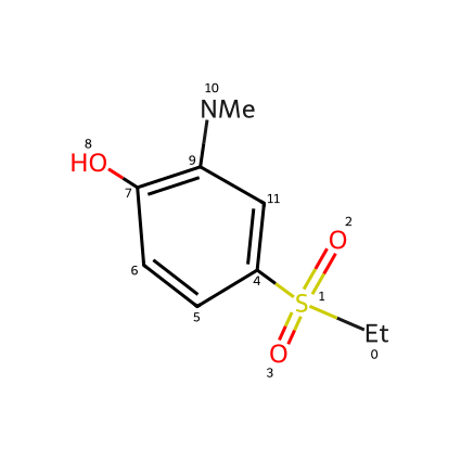 CCS(=O)(=O)c1ccc(O)c(NC)c1